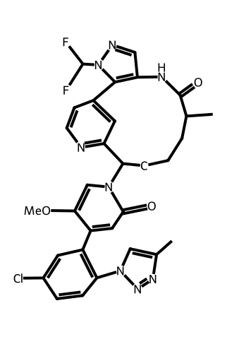 COc1cn(C2CCCC(C)C(=O)Nc3cnn(C(F)F)c3-c3ccnc2c3)c(=O)cc1-c1cc(Cl)ccc1-n1cc(C)nn1